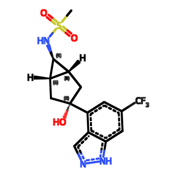 CS(=O)(=O)N[C@H]1[C@@H]2C[C@@](O)(c3cc(C(F)(F)F)cc4[nH]ncc34)C[C@@H]21